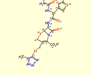 Cn1nnnc1SCC1=C(C(=O)O)N2C(=O)[C@H](NC(=O)C(NC(N)=O)c3ccsc3)C2SC1